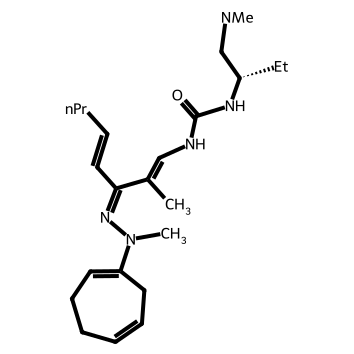 CCC/C=C/C(=N/N(C)C1=CCCC=CC1)C(/C)=C/NC(=O)N[C@@H](CC)CNC